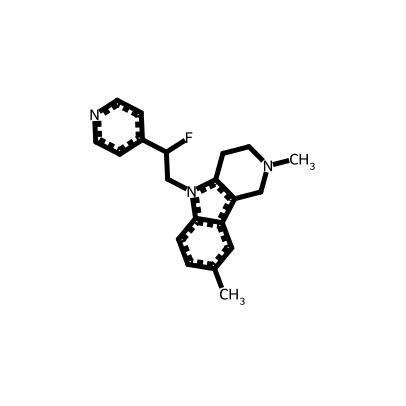 Cc1ccc2c(c1)c1c(n2CC(F)c2ccncc2)CCN(C)C1